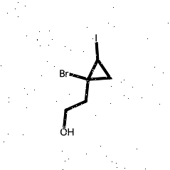 OCCC1(Br)CC1I